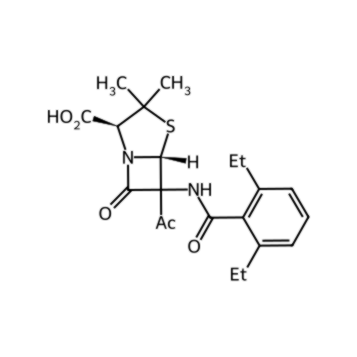 CCc1cccc(CC)c1C(=O)NC1(C(C)=O)C(=O)N2[C@@H](C(=O)O)C(C)(C)S[C@@H]21